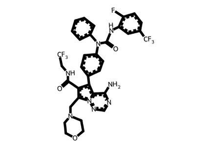 Nc1ncnn2c(CN3CCOCC3)c(C(=O)NCC(F)(F)F)c(-c3ccc(N(C(=O)Nc4cc(C(F)(F)F)ccc4F)c4ccccc4)cc3)c12